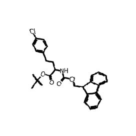 CC(C)(C)OC(=O)C(CCc1ccc(Cl)cc1)NC(=O)OCC1c2ccccc2-c2ccccc21